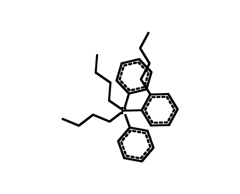 CCCCc1ccccc1P(CCCC)(CCCC)(c1ccccc1)c1ccccc1